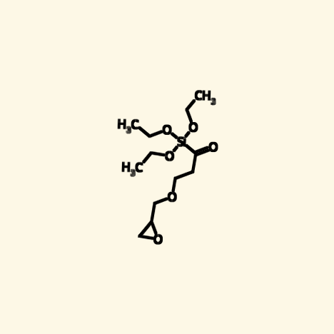 CCO[Si](OCC)(OCC)C(=O)CCOCC1CO1